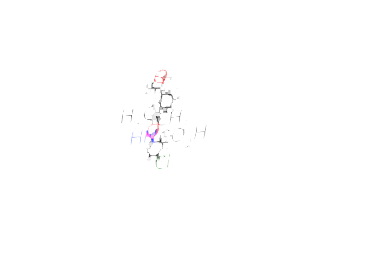 CC(C)(CONc1ccc(Cl)cc1C(=O)O)c1cccc(-c2ccoc2)c1